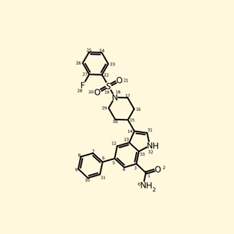 NC(=O)c1cc(-c2ccccc2)cc2c(C3CCN(S(=O)(=O)c4ccccc4F)CC3)c[nH]c12